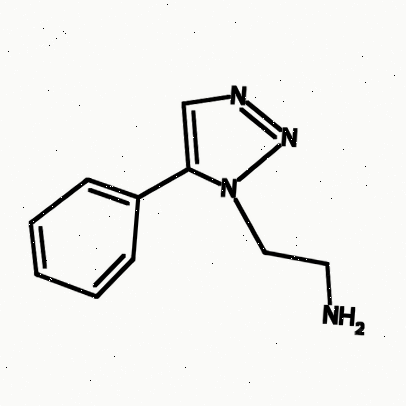 NCCn1nncc1-c1ccccc1